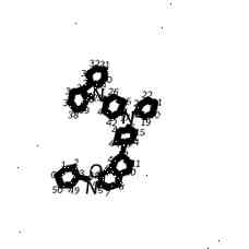 c1ccc(-c2nc3ccc4ccc(-c5ccc(N(c6ccccc6)c6ccc(-n7c8ccccc8c8ccccc87)cc6)cc5)cc4c3o2)cc1